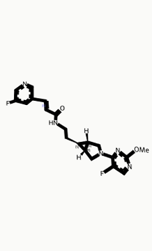 COc1ncc(F)c(N2C[C@@H]3[C@@H](CCNC(=O)/C=C/c4cncc(F)c4)[C@@H]3C2)n1